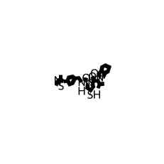 C=C(C)[C@@H](C(=O)N1C[C@H](S)C[C@H]1C(=O)NCc1ccc(-c2scnc2C)cc1)N1Cc2ccccc2C1=O